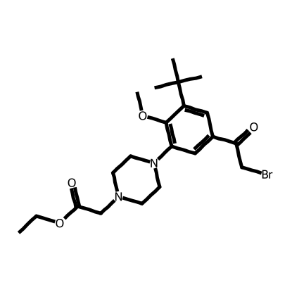 CCOC(=O)CN1CCN(c2cc(C(=O)CBr)cc(C(C)(C)C)c2OC)CC1